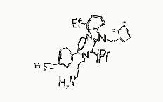 CCc1cccc2c1nc(C(C(C)C)N(CCCN)C(=O)c1ccc(C)cc1)n2CC1=CC=C[C][C]1